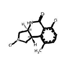 Cc1ccc(Cl)c2c1[C@@H]1CN(Cl)C[C@H]1NC2=O